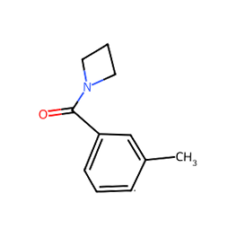 Cc1[c]ccc(C(=O)N2CCC2)c1